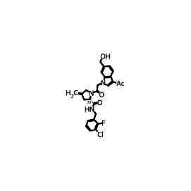 C=C1C[C@@H](C(=O)NCc2cccc(Cl)c2F)N(C(=O)Cn2cc(C(C)=O)c3ccc(CO)cc32)C1